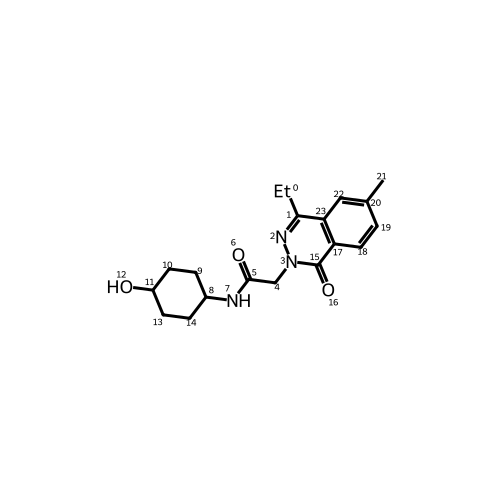 CCc1nn(CC(=O)NC2CCC(O)CC2)c(=O)c2ccc(C)cc12